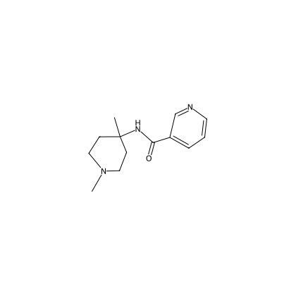 CN1CCC(C)(NC(=O)c2cccnc2)CC1